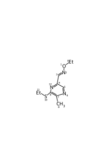 CCO/N=C/c1cnc(C)c(SCC)n1